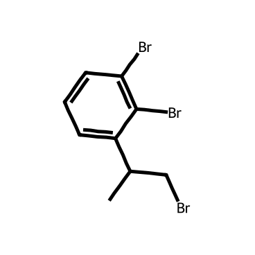 CC(CBr)c1cccc(Br)c1Br